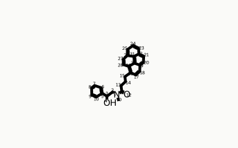 CN(CC(O)c1ccccc1)C(=O)CCCc1ccc2ccc3cccc4ccc1c2c34